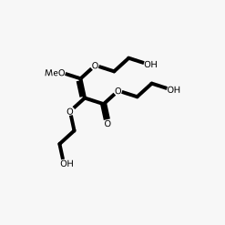 COC(OCCO)=C(OCCO)C(=O)OCCO